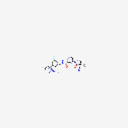 Cc1cc(N2CCC(C#N)(C3CC3)C2=O)cc(C(=O)NCc2cc(F)cc(/C(=C/C(C)C)N(C)N)c2)n1